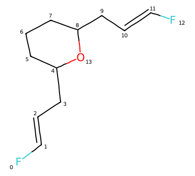 FC=CCC1CCCC(CC=CF)O1